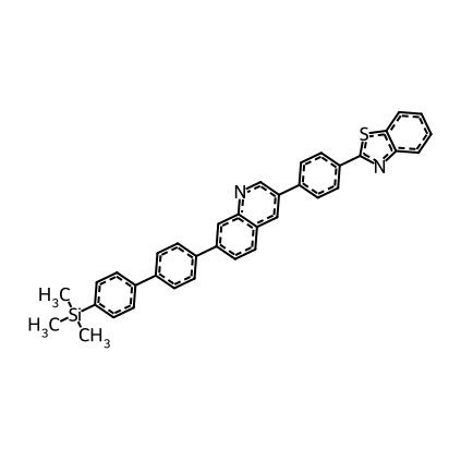 C[Si](C)(C)c1ccc(-c2ccc(-c3ccc4cc(-c5ccc(-c6nc7ccccc7s6)cc5)cnc4c3)cc2)cc1